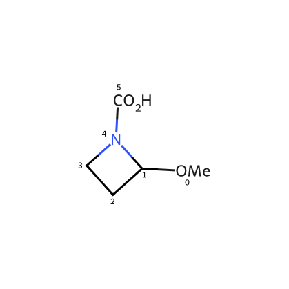 COC1CCN1C(=O)O